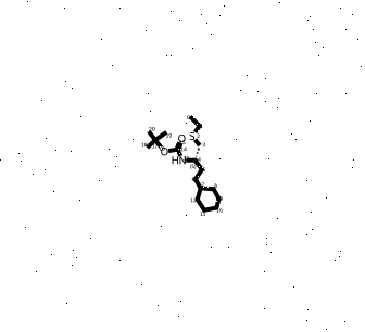 CCSC[C@H](CCC1CCCCC1)NC(=O)OC(C)(C)C